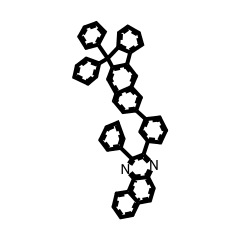 c1ccc(-c2nc3c(ccc4ccccc43)nc2-c2cccc(-c3ccc4cc5c(cc4c3)-c3ccccc3C5(c3ccccc3)c3ccccc3)c2)cc1